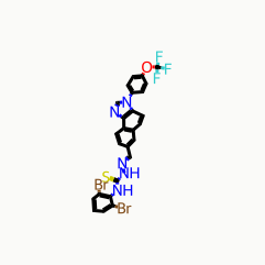 FC(F)(F)Oc1ccc(-n2cnc3c4ccc(C=NNC(=S)Nc5c(Br)cccc5Br)cc4ccc32)cc1